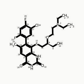 CCN(CC)CCO[C@@H](CO)CSc1c(-c2cc(Cl)c(F)cc2F)c(C)cc2c(=O)[nH]c(=O)[nH]c12